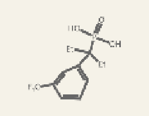 CCC(CC)(c1cccc(C(F)(F)F)c1)P(=O)(O)O